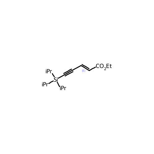 CCOC(=O)/C=C/C#C[Si](C(C)C)(C(C)C)C(C)C